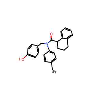 CC(C)c1ccc(N(Cc2ccc(O)cc2)C(=O)C2CCCc3ccccc32)cc1